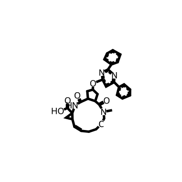 CN1CCCCC=CC2CC2(C(=O)O)NC(=O)C2CC(Oc3cc(-c4ccccc4)nc(-c4ccccc4)n3)CC2C1=O